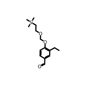 CCc1cc(C=O)ccc1OCOCC[Si](C)(C)C